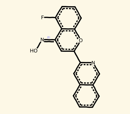 O/N=c1\cc(-c2cc3ccccc3cn2)oc2cccc(F)c12